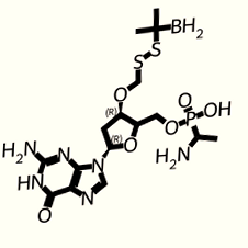 BC(C)(C)SSCO[C@@H]1C[C@H](n2cnc3c(=O)[nH]c(N)nc32)OC1COP(=O)(O)C(C)N